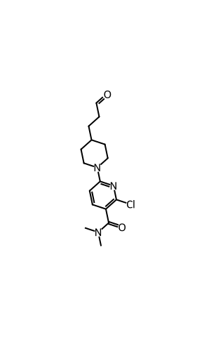 CN(C)C(=O)c1ccc(N2CCC(CCC=O)CC2)nc1Cl